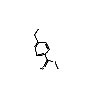 CCc1ccc(C(=N)OC)cc1